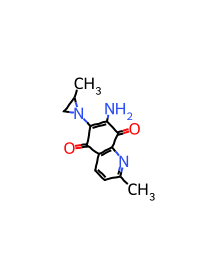 Cc1ccc2c(n1)C(=O)C(N)=C(N1CC1C)C2=O